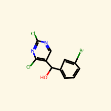 OC(c1cccc(Br)c1)c1cnc(Cl)nc1Cl